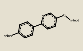 CCCCCCCCCc1ccc(-c2ccc(OCCCCCCC)cn2)cc1